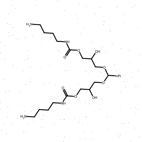 CCCC(OCC(O)COC(=O)NCCCCN)OCC(O)COC(=O)NCCCCN